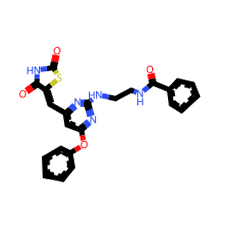 O=C1NC(=O)C(=Cc2cc(Oc3ccccc3)nc(NCCNC(=O)c3ccccc3)n2)S1